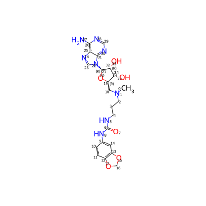 CN(CCCNC(=O)Nc1ccc2c(c1)OCO2)C[C@H]1O[C@@H](n2cnc3c(N)ncnc32)[C@H](O)[C@@H]1O